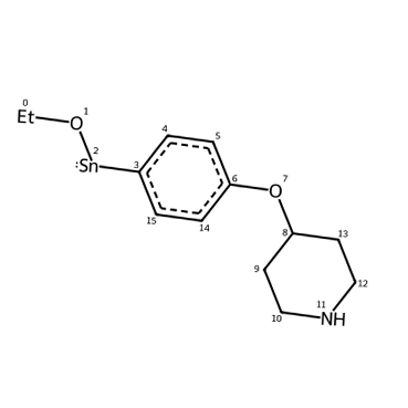 CC[O][Sn][c]1ccc(OC2CCNCC2)cc1